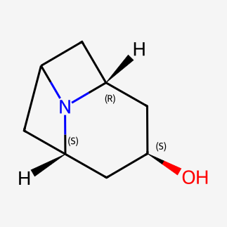 O[C@@H]1C[C@H]2CC3C[C@@H](C1)N32